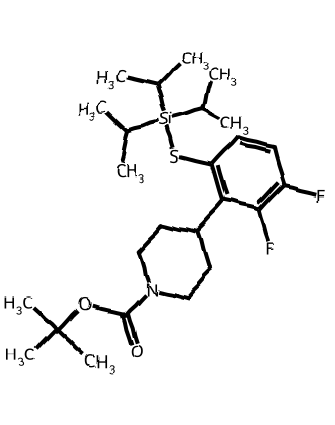 CC(C)[Si](Sc1ccc(F)c(F)c1C1CCN(C(=O)OC(C)(C)C)CC1)(C(C)C)C(C)C